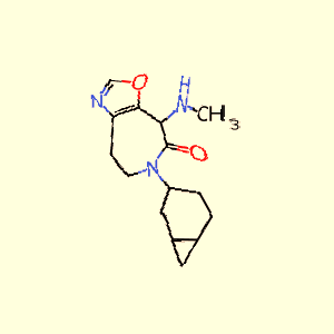 CNC1C(=O)N(C2CCC3CC3C2)CCc2ncoc21